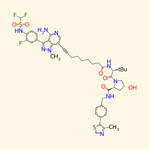 Cc1ncsc1-c1ccc(CNC(=O)[C@@H]2C[C@@H](O)CN2C(=O)[C@@H](NC(=O)CCCCCCC#Cc2cnc(N)c3c(-c4ccc(NS(=O)(=O)C(F)F)c(F)c4)nn(C)c23)C(C)(C)C)cc1